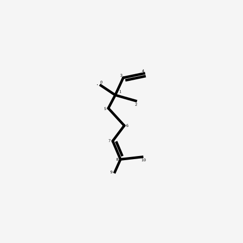 [CH2]C(C)(C=C)CCC=C(C)C